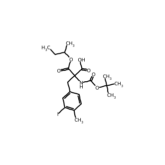 CCC(C)OC(=O)C(Cc1ccc(C)c(I)c1)(NC(=O)OC(C)(C)C)C(=O)O